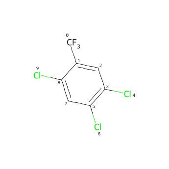 FC(F)(F)c1cc(Cl)c(Cl)cc1Cl